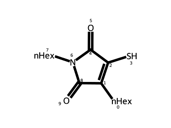 CCCCCCC1=C(S)C(=O)N(CCCCCC)C1=O